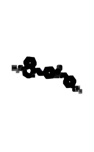 CN1CCN=C(/C=C/c2ccc(C(=O)NCc3ccc(C(F)(F)F)cc3)cc2)c2ccccc21